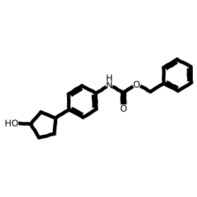 O=C(Nc1ccc(C2CCC(O)C2)cc1)OCc1ccccc1